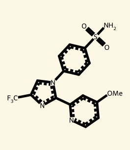 COc1ccnc(-c2nc(C(F)(F)F)cn2-c2ccc(S(N)(=O)=O)cc2)c1